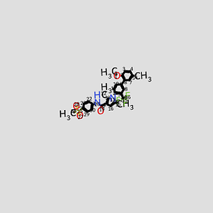 COc1ccc(C)cc1-c1ccc(-n2c(C)cc(C(=O)Nc3ccc(S(C)(=O)=O)cc3)c2C)c(C(F)(F)F)c1